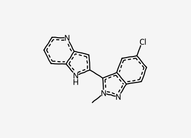 Cn1nc2ccc(Cl)cc2c1-c1cc2ncccc2[nH]1